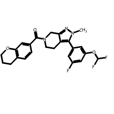 Cn1nc2c(c1-c1cc(F)cc(OC(F)F)c1)CCN(C(=O)c1ccc3c(c1)OCCC3)C2